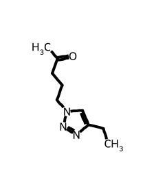 CCc1cn(CCCC(C)=O)nn1